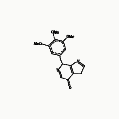 COc1cc(C2N=CC(=O)C3=C2N=CC3)cc(OC)c1OC